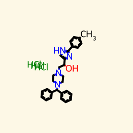 Cc1ccc(-c2nc(C(O)CN3CCN(C(c4ccccc4)c4ccccc4)CC3)c[nH]2)cc1.Cl.Cl.Cl